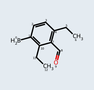 Bc1ccc(CC)c(C=O)c1CC